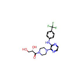 O=C([C@@H](O)CO)N1CCN(c2nccnc2Nc2ccc(C(F)(F)F)cc2)CC1